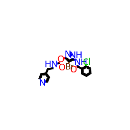 O=C(NCCc1ccncc1)Oc1n[nH]c(NC(=O)c2ccccc2Cl)c1Br